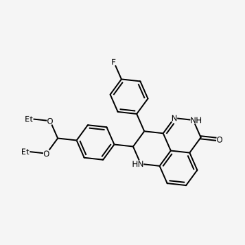 CCOC(OCC)c1ccc(C2Nc3cccc4c(=O)[nH]nc(c34)C2c2ccc(F)cc2)cc1